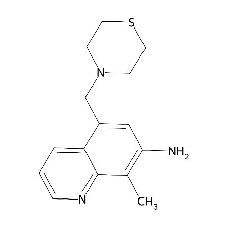 Cc1c(N)cc(CN2CCSCC2)c2cccnc12